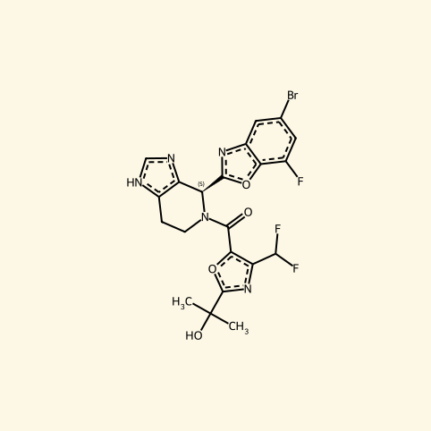 CC(C)(O)c1nc(C(F)F)c(C(=O)N2CCc3[nH]cnc3[C@H]2c2nc3cc(Br)cc(F)c3o2)o1